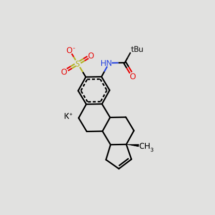 CC(C)(C)C(=O)Nc1cc2c(cc1S(=O)(=O)[O-])CCC1C2CC[C@]2(C)C=CCC12.[K+]